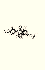 Cc1cc(N2C(=O)[C@@H]3[C@@H]4C[C@@H](CN4C(=O)O)N3C2=O)cnc1C#N